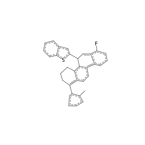 Cc1ccccc1C1=c2ccc3c(c2CCC1)C(c1cc2ccccc2s1)C=c1c(F)cccc1=3